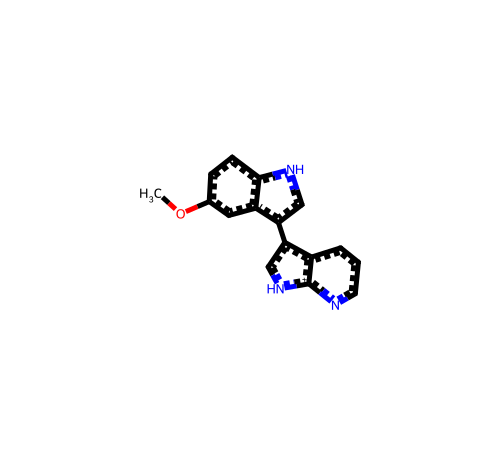 COc1ccc2[nH]cc(-c3c[nH]c4ncccc34)c2c1